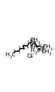 CCCCCCCC[N+](C)(C)CCC[Si](C)(C)C.[Cl-]